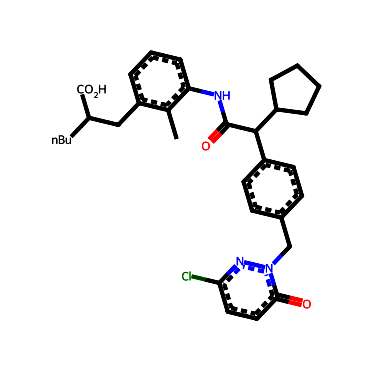 CCCCC(Cc1cccc(NC(=O)C(c2ccc(Cn3nc(Cl)ccc3=O)cc2)C2CCCC2)c1C)C(=O)O